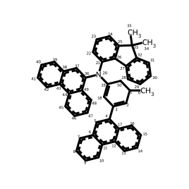 CC1C=C(c2cc3ccccc3c3ccccc23)C=C(N(c2cccc3c2-c2ccccc2C3(C)C)c2cc3ccccc3c3ccccc23)C1